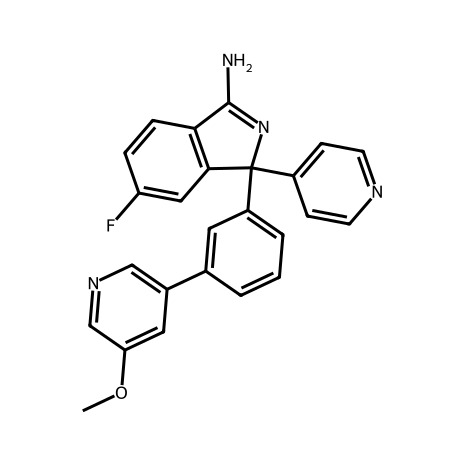 COc1cncc(-c2cccc(C3(c4ccncc4)N=C(N)c4ccc(F)cc43)c2)c1